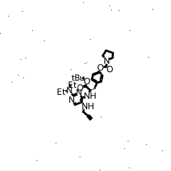 C#CCNc1cnc(N(CC)CC)nc1N[C@@H](Cc1ccc(OC(=O)N2CCCC2)cc1)C(=O)OC(C)(C)C